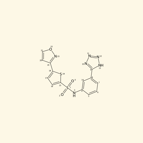 O=S(=O)(Nc1cccc(-c2nnn[nH]2)c1)c1ccc(-c2ccon2)s1